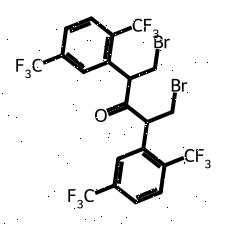 O=C(C(CBr)c1cc(C(F)(F)F)ccc1C(F)(F)F)C(CBr)c1cc(C(F)(F)F)ccc1C(F)(F)F